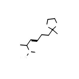 CC(C=CCCC1(C)OCCO1)[S+](N)[O-]